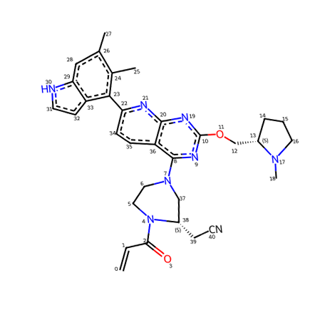 C=CC(=O)N1CCN(c2nc(OC[C@@H]3CCCN3C)nc3nc(-c4c(C)c(C)cc5[nH]ccc45)ccc23)C[C@@H]1CC#N